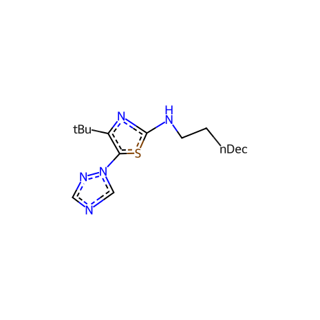 CCCCCCCCCCCCNc1nc(C(C)(C)C)c(-n2cncn2)s1